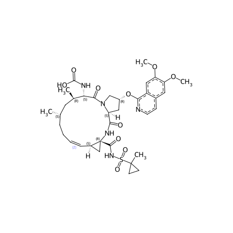 COc1cc2ccnc(O[C@@H]3C[C@H]4C(=O)N[C@]5(C(=O)NS(=O)(=O)C6(C)CC6)C[C@H]5/C=C\CC[C@H](C)C[C@@H](C)[C@H](NC(=O)O)C(=O)N4C3)c2cc1OC